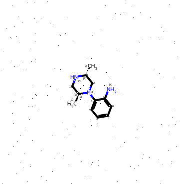 C[C@@H]1CN(c2ccccc2N)[C@@H](C)CN1